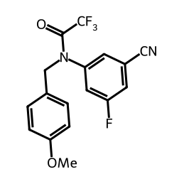 COc1ccc(CN(C(=O)C(F)(F)F)c2cc(F)cc(C#N)c2)cc1